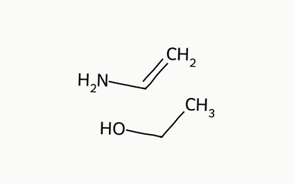 C=CN.CCO